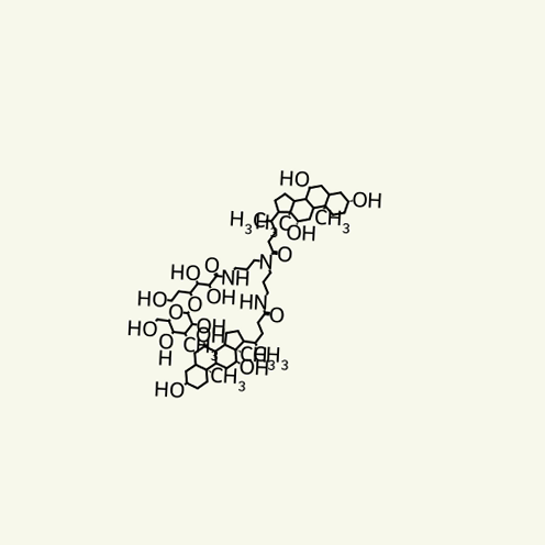 CC(CCC(=O)NCCCN(CCCNC(=O)C(O)C(O)C(CCO)OC1OC(CO)C(O)C(C)C1O)C(=O)CCC(C)C1CCC2C3C(C[C@H](O)[C@]12C)[C@@]1(C)CC[C@@H](O)CC1C[C@H]3O)C1CCC2C3C(C[C@H](O)[C@]12C)[C@@]1(C)CC[C@@H](O)CC1C[C@H]3O